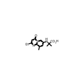 CCc1cc(=O)n2cc(NC(C)(C)C(=O)O)cc(C)c2n1